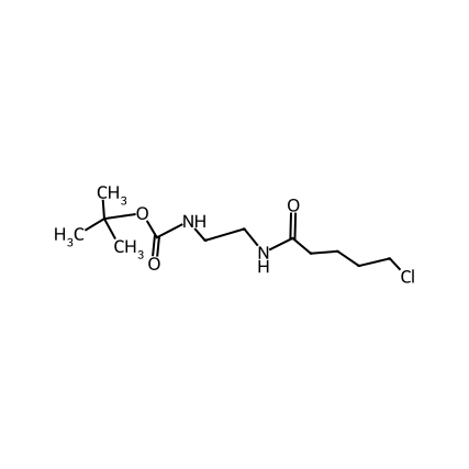 CC(C)(C)OC(=O)NCCNC(=O)CCCCCl